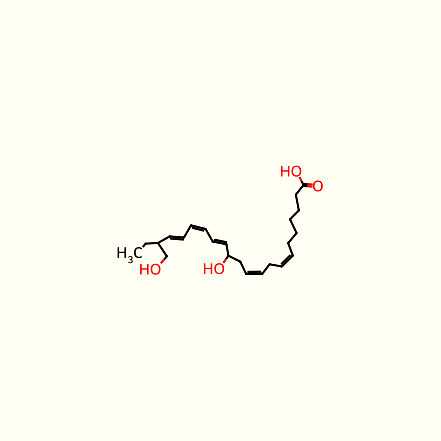 CCC(/C=C/C=C\C=C\C(O)C/C=C\C/C=C\CCCCCC(=O)O)CO